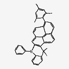 Cc1cc(C)c(-c2ccc3ccc4c5c(cc6ccc2c3c64)B(c2ccccc2)c2ccccc2C5(C)C)c(C)c1